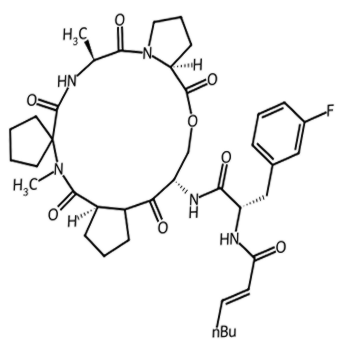 CCCC/C=C/C(=O)N[C@@H](Cc1cccc(F)c1)C(=O)N[C@H]1COC(=O)[C@@H]2CCCN2C(=O)[C@H](C)NC(=O)C2(CCCC2)N(C)C(=O)[C@@H]2CCCC2C1=O